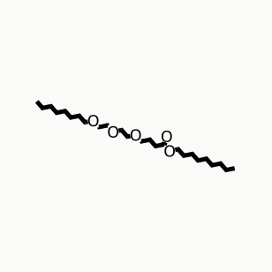 CCCCCCCCCOC(=O)CCCOCCOCCOCCCCCCCC